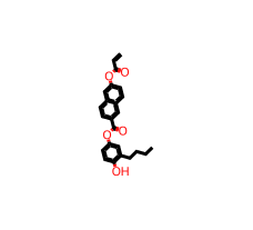 C=CC(=O)Oc1ccc2cc(C(=O)Oc3ccc(O)c(CCCC)c3)ccc2c1